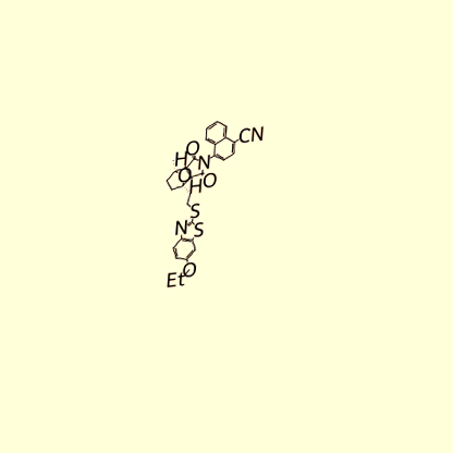 CCOc1ccc2nc(SCC[C@]34CC[C@](C)(O3)[C@@H]3C(=O)N(c5ccc(C#N)c6ccccc56)C(=O)[C@@H]34)sc2c1